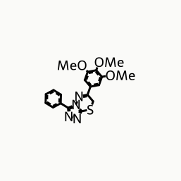 COc1cc(C2=Nn3c(nnc3-c3ccccc3)SC2)cc(OC)c1OC